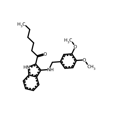 CCCCCC(=O)c1[nH]c2ccccc2c1NCc1ccc(OC)c(OC)c1